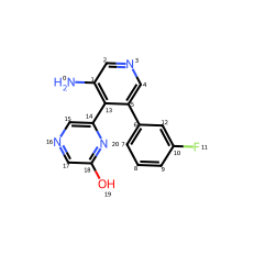 Nc1cncc(-c2cccc(F)c2)c1-c1cncc(O)n1